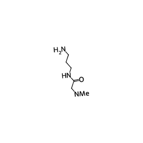 CNCC(=O)NCCCN